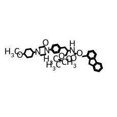 COC1CCC(N2CCN(c3ccc(CC(NC(=O)OCc4cccc5c4Cc4ccccc4-5)C(=O)OC(C)(C)C)cc3)C(=O)C2)CC1